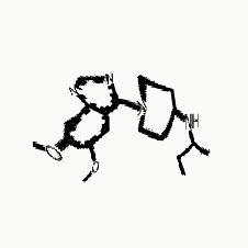 CCC(C)NC1CCN(c2ncnc3cc(OC)c(OC)cc23)CC1